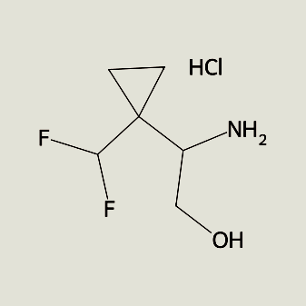 Cl.NC(CO)C1(C(F)F)CC1